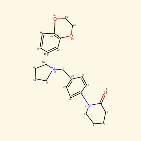 O=C1CCCCN1c1ccc(CN2CCC[C@@H]2c2ccc3c(c2)OCCO3)cc1